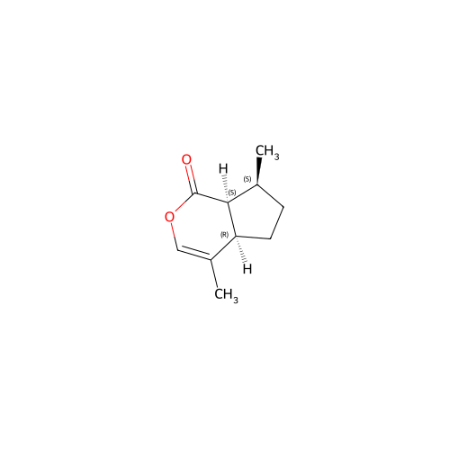 CC1=COC(=O)[C@H]2[C@@H](C)CC[C@@H]12